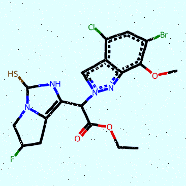 CCOC(=O)C(C1=C2CC(F)CN2C(S)N1)n1cc2c(Cl)cc(Br)c(OC)c2n1